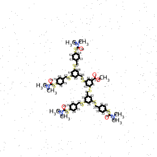 COC(=O)c1cc(SCc2cc(SCc3ccc(SC(=O)N(C)C)cc3)cc(SCc3ccc(SC(=O)N(C)C)cc3)c2)cc(SCc2cc(SCc3ccc(SC(=O)N(C)C)cc3)cc(SCc3ccc(SC(=O)N(C)C)cc3)c2)c1